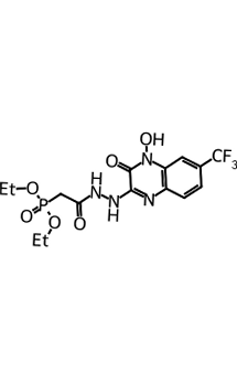 CCOP(=O)(CC(=O)NNc1nc2ccc(C(F)(F)F)cc2n(O)c1=O)OCC